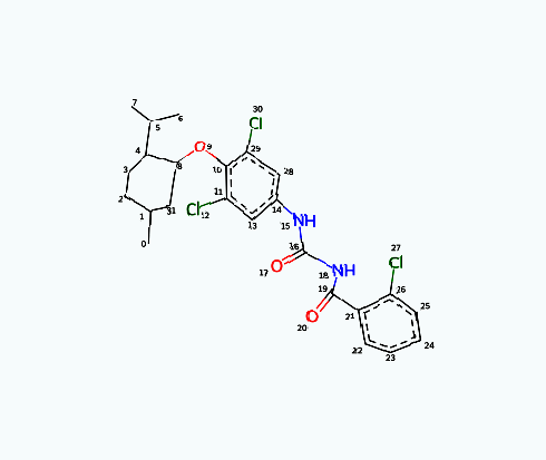 CC1CCC(C(C)C)C(Oc2c(Cl)cc(NC(=O)NC(=O)c3ccccc3Cl)cc2Cl)C1